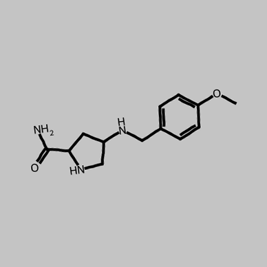 COc1ccc(CNC2CNC(C(N)=O)C2)cc1